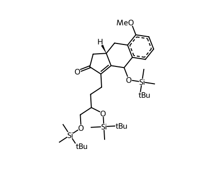 COc1cccc2c1C[C@H]1CC(=O)C(CCC(CO[Si](C)(C)C(C)(C)C)O[Si](C)(C)C(C)(C)C)=C1C2O[Si](C)(C)C(C)(C)C